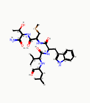 CSCC(NC(=O)C(Cc1c[nH]c2ccccc12)NC(=O)C(NC(C=O)CC(C)C)C(C)C)C(=O)NC(C(N)=O)C(C)O